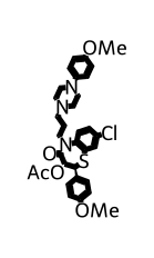 COc1ccc([C@@H]2Sc3cc(Cl)ccc3N(CCCN3CCN(c4ccc(OC)cc4)CC3)C(=O)C2OC(C)=O)cc1